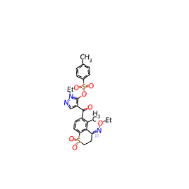 CCO/N=C1/CCS(=O)(=O)c2ccc(C(=O)c3cnn(CC)c3OS(=O)(=O)c3ccc(C)cc3)c(C)c21